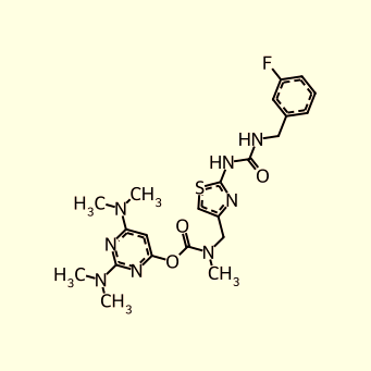 CN(Cc1csc(NC(=O)NCc2cccc(F)c2)n1)C(=O)Oc1cc(N(C)C)nc(N(C)C)n1